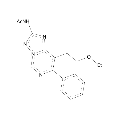 CCOCCc1c(-c2ccccc2)ncn2nc(NC(C)=O)nc12